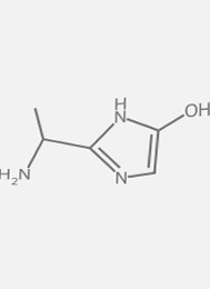 CC(N)c1ncc(O)[nH]1